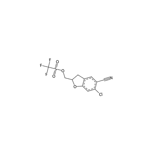 N#Cc1cc2c(cc1Cl)OC(COS(=O)(=O)C(F)(F)F)C2